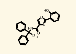 CC(NC(=O)c1coc(-c2ccccc2O)n1)(c1ccccc1)c1ccccc1